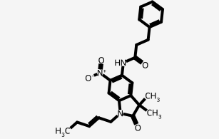 CCC=CCN1C(=O)C(C)(C)c2cc(NC(=O)CCc3ccccc3)c([N+](=O)[O-])cc21